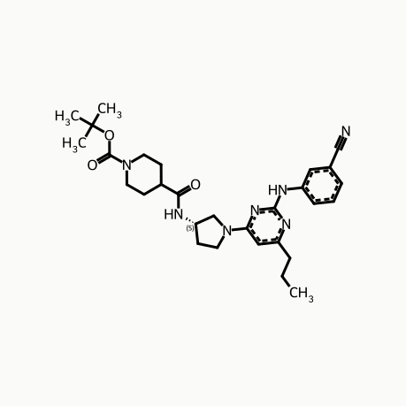 CCCc1cc(N2CC[C@H](NC(=O)C3CCN(C(=O)OC(C)(C)C)CC3)C2)nc(Nc2cccc(C#N)c2)n1